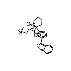 C[Si](C)(C)CCC(C(=O)O)[C@]1(c2ccc(-c3occ4ccccc34)s2)CCCCS1(=O)=O